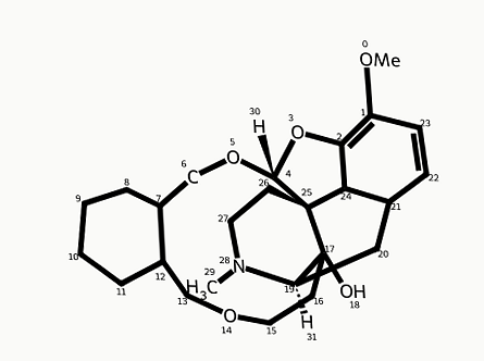 COC1=C2O[C@H]3OCC4CCCCC4COCCC4(O)[C@H]5CC(C=C1)C2[C@@]34CCN5C